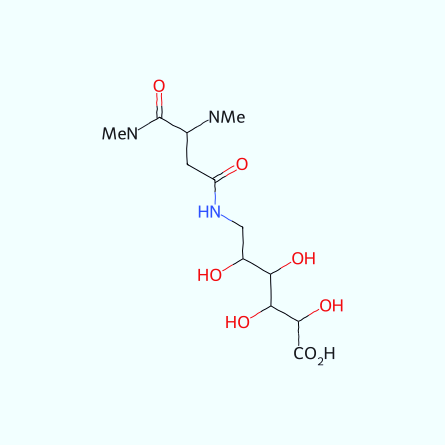 CNC(=O)C(CC(=O)NCC(O)C(O)C(O)C(O)C(=O)O)NC